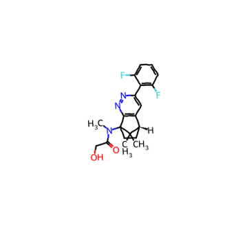 CN(C(=O)CO)C12CC[C@@H](c3cc(-c4c(F)cccc4F)nnc31)C2(C)C